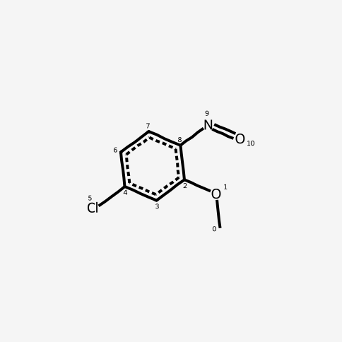 COc1cc(Cl)ccc1N=O